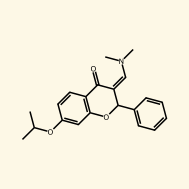 CC(C)Oc1ccc2c(c1)OC(c1ccccc1)C(=CN(C)C)C2=O